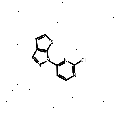 Clc1nccc(-n2ncc3ccsc32)n1